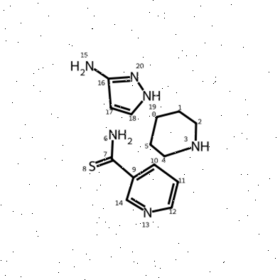 C1CCNCC1.NC(=S)c1cccnc1.Nc1cc[nH]n1